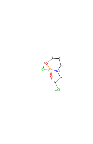 O=P1(Cl)OCCCN1CCCl